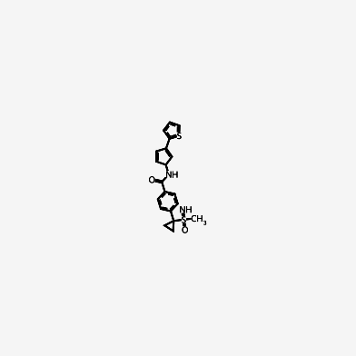 CS(=N)(=O)C1(c2ccc(C(=O)NC3C=CC(c4cccs4)=C3)cc2)CC1